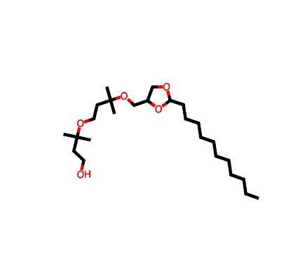 CCCCCCCCCCCC1OCC(COC(C)(C)CCOC(C)(C)CCO)O1